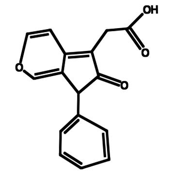 O=C(O)CC1=C2C=COC=C2C(c2ccccc2)C1=O